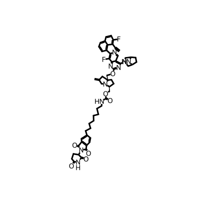 C#Cc1c(F)ccc2cccc(-c3ncc4c(N5CC6CCC(C5)N6)nc(OC[C@@]56CC[C@@H](COC(=O)NCCCCCCCCc7ccc8c(c7)C(=O)N(C7CCC(=O)NC7=O)C8=O)N5CC(=C)C6)nc4c3F)c12